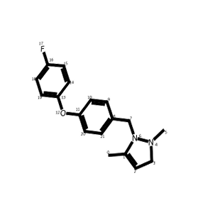 CC1=CCN(C)N1Cc1ccc(Oc2ccc(F)cc2)cc1